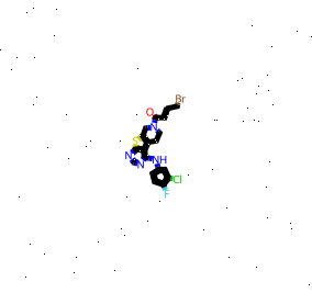 O=C(C=CCBr)N1CCc2c(sc3ncnc(Nc4ccc(F)c(Cl)c4)c23)C1